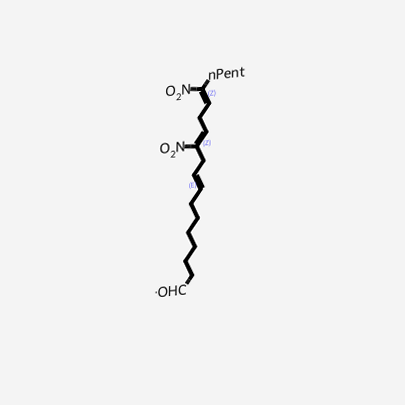 CCCCC/C(=C/C/C=C(/C/C=C/CCCCCC[C]=O)[N+](=O)[O-])[N+](=O)[O-]